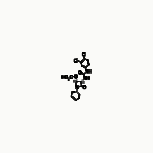 O=C(Nc1ccc(Cl)c(Cl)c1)N[C@@H]1C(=O)N(c2ccccc2)C[C@@H]1OC(=O)O